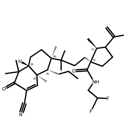 C=C(C)C1CC[C@@](CCC(C)(C)[C@]2(C)CC[C@H]3C(C)(C)C(=O)C(C#N)=C[C@]3(C)[C@H]2CCC)(C(=O)NCC(F)F)[C@H]1C